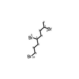 CC(Br)[CH]CC(Br)CCCBr